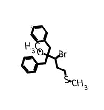 COC(Cc1cc[c]cc1)(Cc1ccccc1)C(Br)CCSC